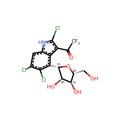 O=C(c1c(Cl)[nH]c2cc(Cl)c(Cl)c([C@@H]3O[C@H](CO)[C@@H](O)[C@H]3O)c12)C(F)(F)F